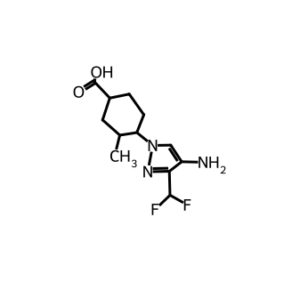 CC1CC(C(=O)O)CCC1n1cc(N)c(C(F)F)n1